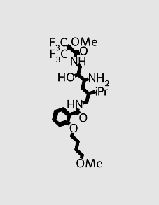 COCCCCOc1ccccc1C(=O)NCC(CC(N)C(O)CNC(=O)C(OC)(C(F)(F)F)C(F)(F)F)C(C)C